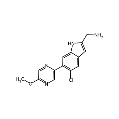 COc1cnc(-c2cc3[nH]c(CN)cc3cc2Cl)cn1